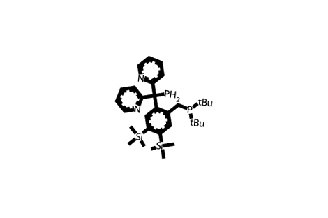 CC(C)(C)P(Cc1cc([Si](C)(C)C)c([Si](C)(C)C)cc1C(P)(c1ccccn1)c1ccccn1)C(C)(C)C